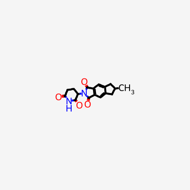 CC1Cc2cc3c(cc2C1)C(=O)N(C1CCC(=O)NC1=O)C3=O